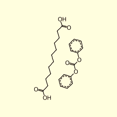 O=C(O)CCCCCCCCCCC(=O)O.O=C(Oc1ccccc1)Oc1ccccc1